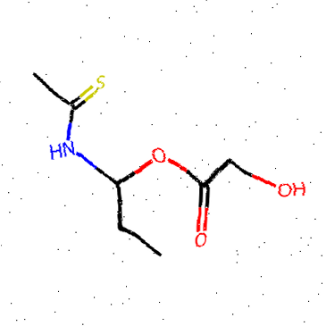 CCC(NC(C)=S)OC(=O)CO